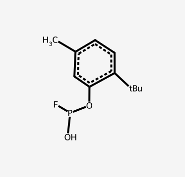 Cc1ccc(C(C)(C)C)c(OP(O)F)c1